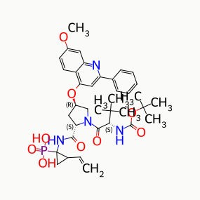 C=CC1CC1(NC(=O)[C@@H]1C[C@@H](Oc2cc(-c3ccccc3)nc3cc(OC)ccc23)CN1C(=O)[C@@H](NC(=O)OC(C)(C)C)C(C)(C)C)P(=O)(O)O